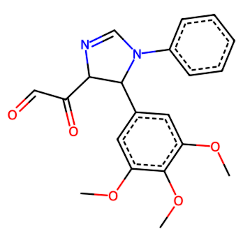 COc1cc(C2C(C(=O)C=O)N=CN2c2ccccc2)cc(OC)c1OC